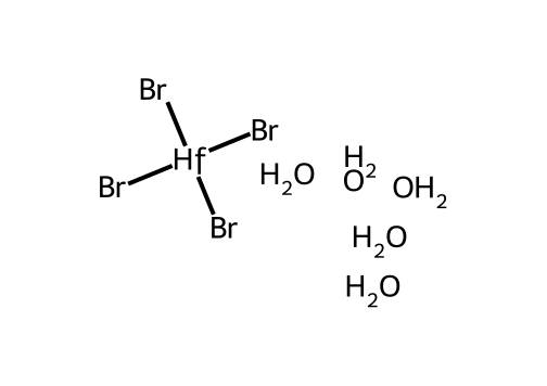 O.O.O.O.O.[Br][Hf]([Br])([Br])[Br]